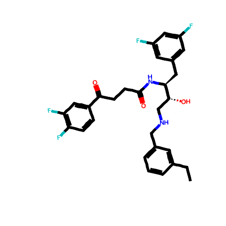 CCc1cccc(CNC[C@@H](O)[C@H](Cc2cc(F)cc(F)c2)NC(=O)CCC(=O)c2ccc(F)c(F)c2)c1